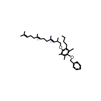 CCCCc1c(C)c(OCc2ccccc2)c(C)c(C)c1OCC(C)/C=C(\C)CC/C=C(\C)CCC=C(C)C